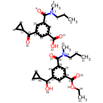 CCCN(C)C(=O)c1cc(C(=O)O)cc(C(=O)C2CC2)c1.CCCN(C)C(=O)c1cc(C(=O)OCC)cc(C(O)C2CC2)c1